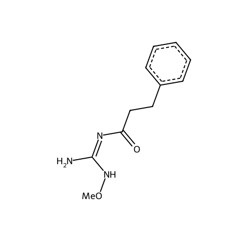 CONC(N)=NC(=O)CCc1ccccc1